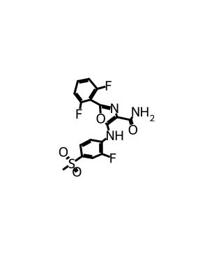 CS(=O)(=O)c1ccc(Nc2oc(-c3c(F)cccc3F)nc2C(N)=O)c(F)c1